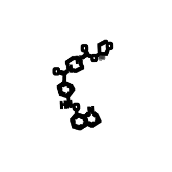 O=C(O[C@H]1CCOC1)N1CCN(C(=O)c2ccc(NOc3cccc4cccnc34)cc2)CC1